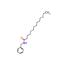 CCSCCCCCCCCCCC(=O)NCc1ccccc1